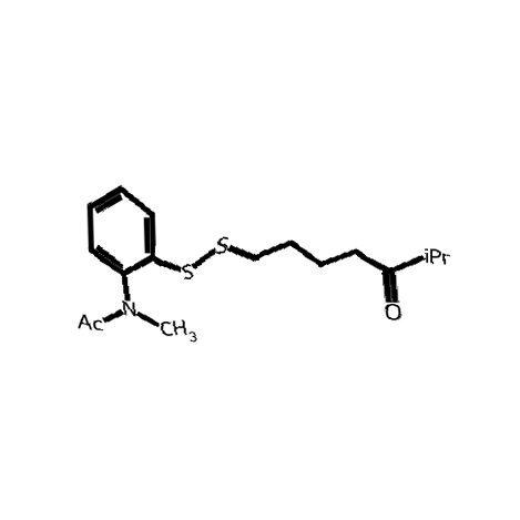 CC(=O)N(C)c1ccccc1SSCCCCC(=O)C(C)C